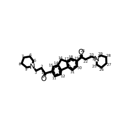 O=C(CCN1CCCCC1)c1ccc2c(c1)Cc1cc(C(=O)CCN3CCCCC3)ccc1-2